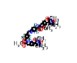 COC(=O)C(Cc1ccc(-c2c(C)n(C)c(=O)n(C)c2=O)cc1)NC(=O)c1c(F)cc(CNCc2cc(F)c(C(=O)N[C@@H](Cc3ccc(-c4c(C)n(C)c(=O)n(C)c4=O)cc3)C(=O)OC)c(F)c2)cc1F